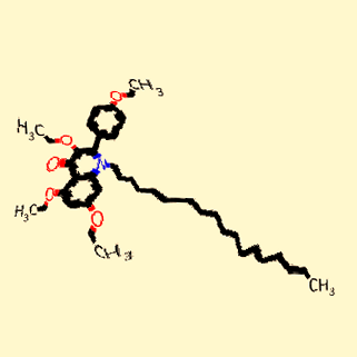 CCCCCCCCCCCCCCCCC=Cn1c(-c2ccc(OCC)cc2)c(OCC)c(=O)c2c(OCC)cc(OCC)cc21